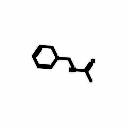 CC(=O)NCN1C=CC=CC1